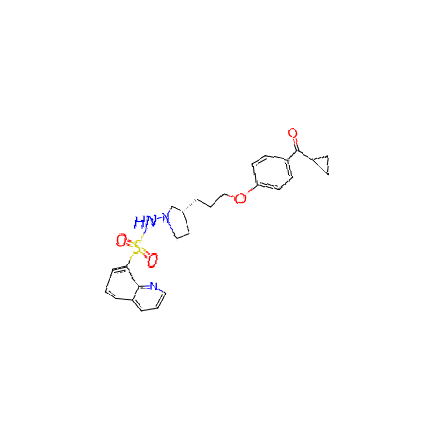 O=C(c1ccc(OCCC[C@@H]2CCN(NS(=O)(=O)c3cccc4cccnc34)C2)cc1)C1CC1